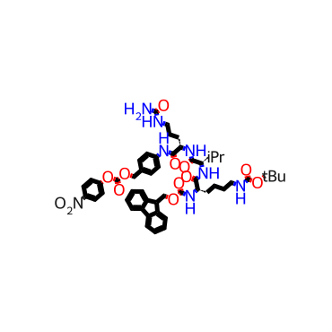 CC(C)[C@H](NC(=O)[C@H](CCCCNC(=O)OC(C)(C)C)NC(=O)OCC1c2ccccc2-c2ccccc21)C(=O)N[C@@H](CCCNC(N)=O)C(=O)Nc1ccc(COC(=O)Oc2ccc([N+](=O)[O-])cc2)cc1